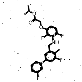 Cc1c(F)cc(-c2cccc(F)c2)cc1CNc1c(F)ccc(OCC(=O)OC(C)C)c1F